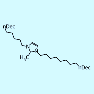 CCCCCCCCCCCCCCCCCCN1C=CN(CCCCCCCCCCCCCCC)C1C